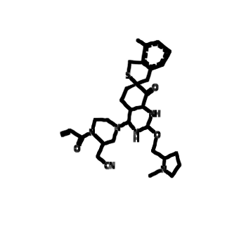 C=CC(=O)N1CCN(C2NC(OCC3CCCN3C)NC3C(=O)[C@@]4(CCC32)Cc2cccc(C)c2CS4)CC1CC#N